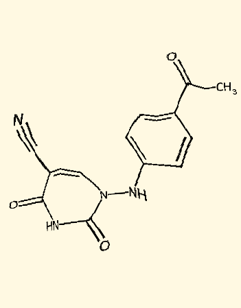 CC(=O)c1ccc(Nn2cc(C#N)c(=O)[nH]c2=O)cc1